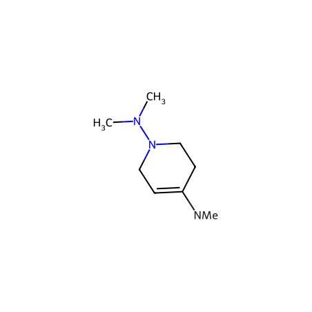 CNC1=CCN(N(C)C)CC1